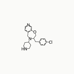 Clc1ccc(CC2COc3cnccc3CN2C2CCNCC2)cc1